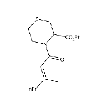 CCC/C(C)=C/C(=O)N1CCSCC1C(=O)OCC